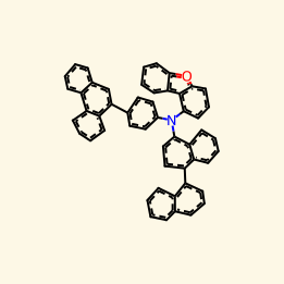 c1ccc2c(-c3ccc(N(c4ccc(-c5cc6ccccc6c6ccccc56)cc4)c4cccc5oc6ccccc6c45)c4ccccc34)cccc2c1